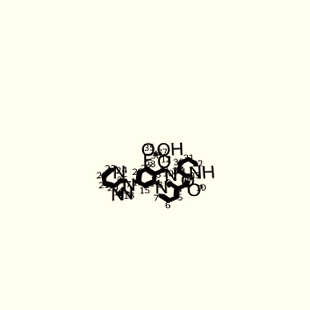 COC(=O)c1cccnc1N(C(=O)c1ccc(-n2nnc3cccnc32)cc1F)[C@@H]1CCCNC1.O=CO